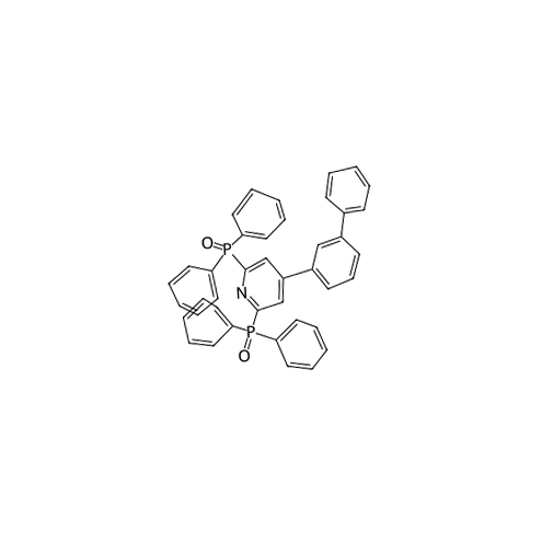 O=P(c1ccccc1)(c1ccccc1)c1cc(-c2cccc(-c3ccccc3)c2)cc(P(=O)(c2ccccc2)c2ccccc2)n1